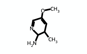 COC1=CC(C)C(N)N=C1